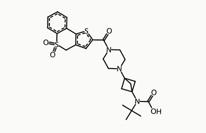 CC(C)(C)N(C(=O)O)C12CC(N3CCN(C(=O)c4cc5c(s4)-c4ccccc4S(=O)(=O)C5)CC3)(C1)C2